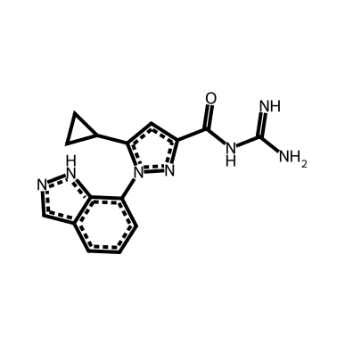 N=C(N)NC(=O)c1cc(C2CC2)n(-c2cccc3cn[nH]c23)n1